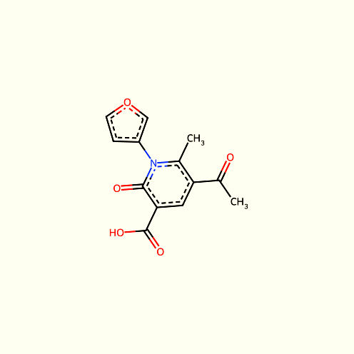 CC(=O)c1cc(C(=O)O)c(=O)n(-c2ccoc2)c1C